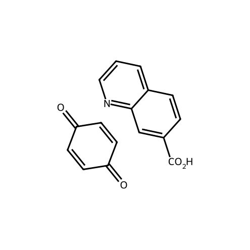 O=C(O)c1ccc2cccnc2c1.O=C1C=CC(=O)C=C1